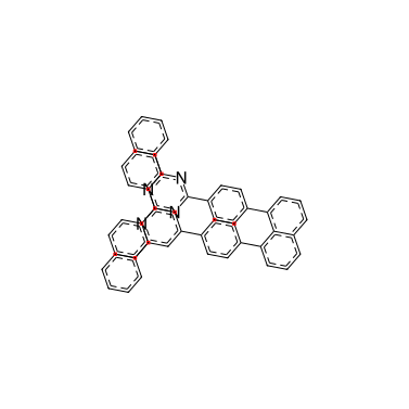 c1ccc(-c2cc(-c3ccc(-c4cccc5cccc(-c6ccc(-c7nc(-c8ccccc8)nc(-c8ccccc8)n7)cc6)c45)cc3)cc(-c3ccccc3)n2)cc1